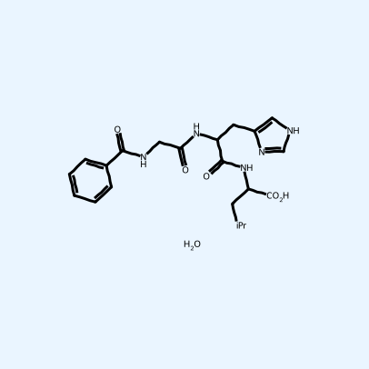 CC(C)CC(NC(=O)C(Cc1c[nH]cn1)NC(=O)CNC(=O)c1ccccc1)C(=O)O.O